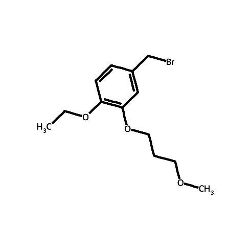 CCOc1ccc(CBr)cc1OCCCOC